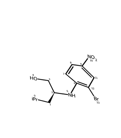 CC(C)C[C@@H](CO)Nc1ccc([N+](=O)[O-])cc1Br